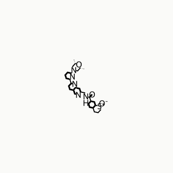 C[C@@H]1CN(c2cccc(-c3ccc4cnc(CNC(=O)c5ccc6c(c5)[S@@+]([O-])CCC6)cc4n3)n2)C[C@H](C)O1